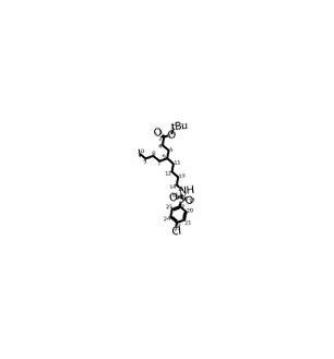 CC(C)(C)OC(=O)CCC(CCCI)CCCCNS(=O)(=O)c1ccc(Cl)cc1